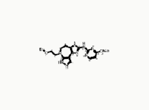 CCOCCN1CCc2sc(Nc3nccc(OC)n3)nc2-c2cn[nH]c21